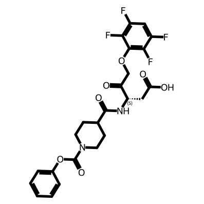 O=C(O)C[C@H](NC(=O)C1CCN(C(=O)Oc2ccccc2)CC1)C(=O)COc1c(F)c(F)cc(F)c1F